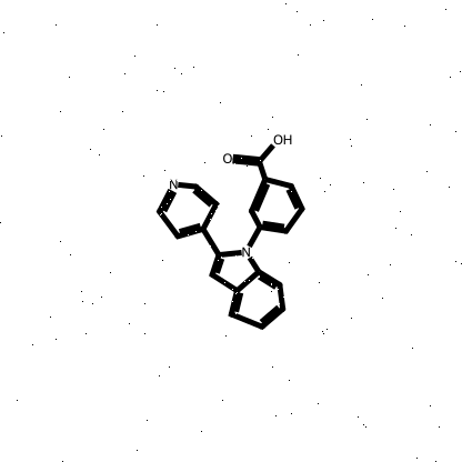 O=C(O)c1cccc(-n2c(-c3ccncc3)cc3ccccc32)c1